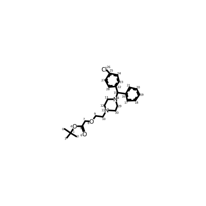 CC(C)(C)OC(=O)COCCN1CCN(C(c2ccccc2)c2ccc(Cl)cc2)CC1